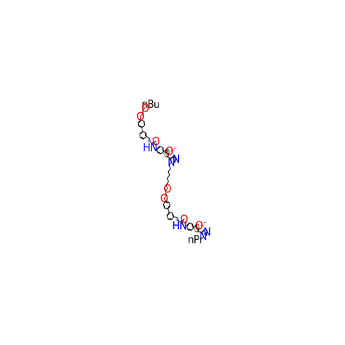 CCCCOCCOc1ccc(-c2cccc(/C=C/C(=O)Nc3ccc([S@@+]([O-])Cc4cncn4CCCCCCCOCCOc4ccc(-c5cccc(/C=C/C(=O)Nc6ccc([S@+]([O-])Cc7cncn7CCC)cc6)c5)cc4)cc3)c2)cc1